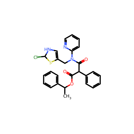 CC(OC(=O)C(C(=O)N(CC1=CNC(Cl)S1)c1ccccn1)c1ccccc1)c1ccccc1